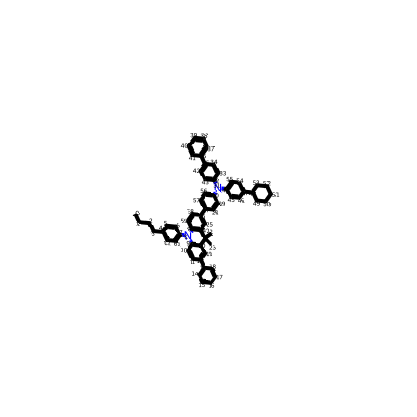 CCCCc1ccc(N2c3ccc(-c4ccccc4)cc3C(C)(C)c3cc(-c4ccc(N(c5ccc(-c6ccccc6)cc5)c5ccc(C6CCCCC6)cc5)cc4)ccc32)cc1